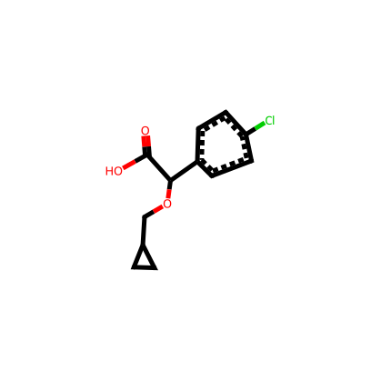 O=C(O)C(OCC1CC1)c1ccc(Cl)cc1